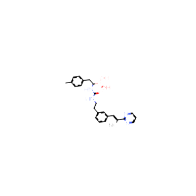 Cc1ccc(CC(NC(=O)NCCc2cccc(/C=C(\C#N)c3ncccn3)c2)B(O)O)cc1